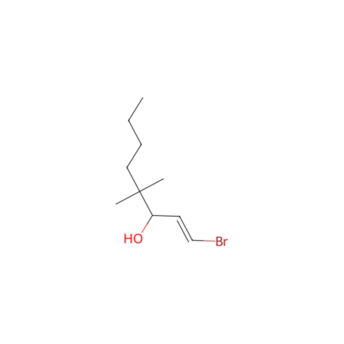 CCCCC(C)(C)C(O)/C=C/Br